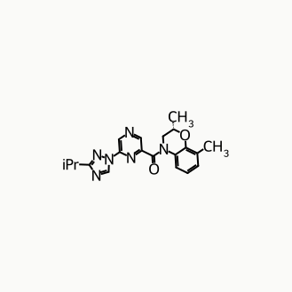 Cc1cccc2c1O[C@@H](C)CN2C(=O)c1cncc(-n2cnc(C(C)C)n2)n1